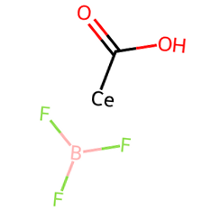 FB(F)F.O=[C](O)[Ce]